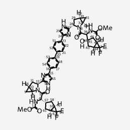 COC(=O)NC(C(=O)N1[C@@H]2C[C@@H]2C[C@H]1c1nc(-c2ccc(-c3ccc(-c4c[nH]c([C@@H]5C[C@H]6C[C@H]6N5C(=O)C(NC(=O)OC)[C@]5(O)C[C@@H]6[C@H](C5)C6(F)F)n4)cc3)cc2)c[nH]1)[C@@H]1C[C@@H]2[C@H](C1)C2(F)F